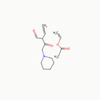 C=CC(C=O)C(=O)CN1CCCCC1.C=COC(C)=O